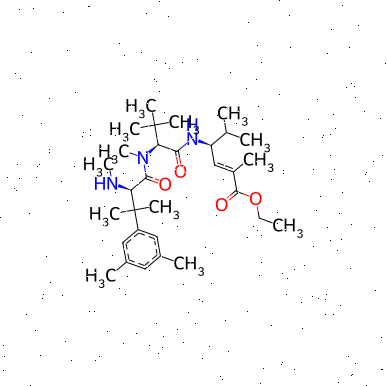 CCOC(=O)/C(C)=C/[C@@H](NC(=O)[C@@H](N(C)C(=O)[C@H](NC)C(C)(C)c1cc(C)cc(C)c1)C(C)(C)C)C(C)C